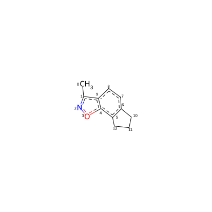 Cc1noc2c3c(ccc12)CCC3